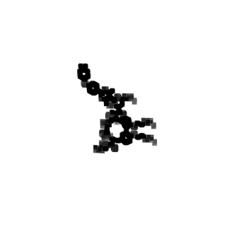 Cc1nc(-c2ccc(OC3CCC(C)(C)CC3)cc2)nc(C)c1C(=O)N[C@@H](CCN)C(=O)N(C)[C@@H]1C(=O)N[C@@H](C)C(=O)N[C@H](C(=O)NCC#N)Cc2ccc(OCCN)c(c2)-c2cc1ccc2OCCN